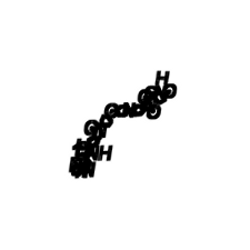 CC(C)Oc1cc2c(cc1NC(=O)c1cnn3cccnc13)CN([C@H]1CC[C@H](OC3CCN(c4ccc5c(c4)C(=O)N(C4CCC(=O)NC4=O)C5=O)CC3)CC1)C2=O